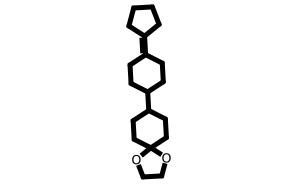 C1CCC(=C2CCC(C3CCC4(CC3)OCCO4)CC2)C1